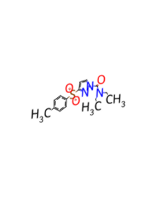 CCN(CC)C(=O)n1ccc(S(=O)(=O)c2ccc(C)cc2)n1